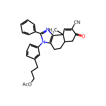 CC(=O)OCCCc1cccc(-n2c(-c3ccccc3)nc3c2CCC2CC(=O)C(C#N)=CC32C)c1